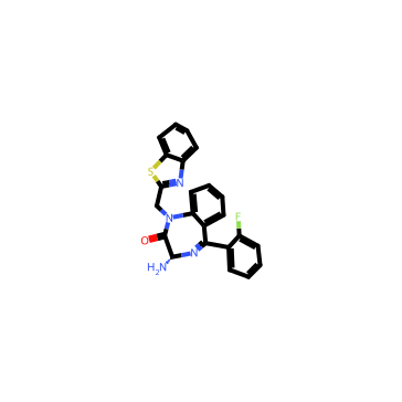 N[C@H]1N=C(c2ccccc2F)c2ccccc2N(Cc2nc3ccccc3s2)C1=O